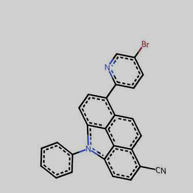 N#Cc1ccc2c3c1ccc1c(-c4ccc(Br)cn4)ccc(c13)n2-c1ccccc1